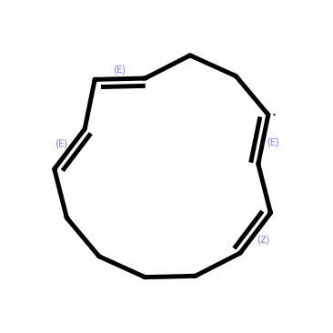 [C]1=C/C=C\CCCC/C=C/C=C/CC/1